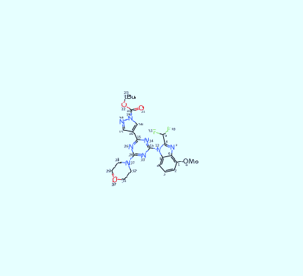 COc1cccc2c1nc(C(F)F)n2-c1nc(-c2cnn(C(=O)OC(C)(C)C)c2)nc(N2CCOCC2)n1